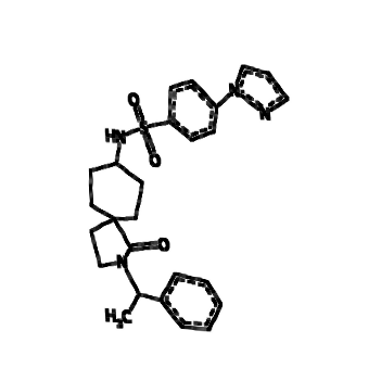 CC(c1ccccc1)N1CCC2(CCC(NS(=O)(=O)c3ccc(-n4cccn4)cc3)CC2)C1=O